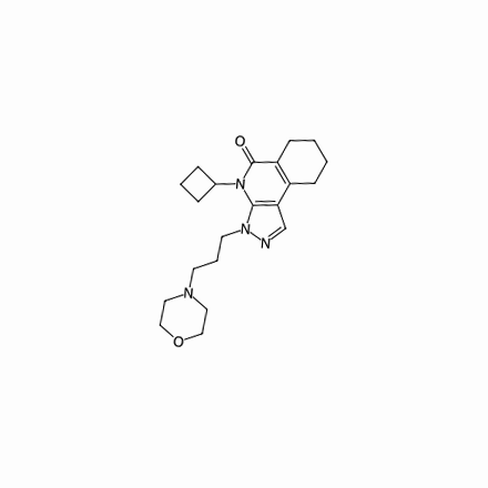 O=c1c2c(c3cnn(CCCN4CCOCC4)c3n1C1CCC1)CCCC2